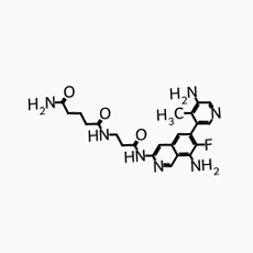 Cc1c(N)cncc1-c1cc2cc(NC(=O)CCNC(=O)CCCC(N)=O)ncc2c(N)c1F